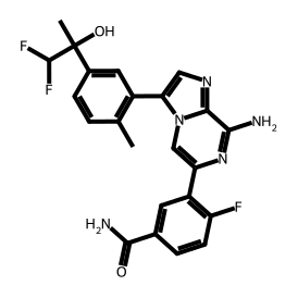 Cc1ccc(C(C)(O)C(F)F)cc1-c1cnc2c(N)nc(-c3cc(C(N)=O)ccc3F)cn12